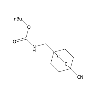 CCCCOC(=O)NCC12CCC(C#N)(CC1)CC2